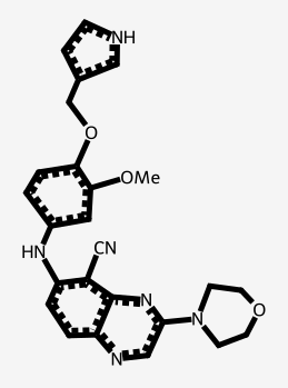 COc1cc(Nc2ccc3ncc(N4CCOCC4)nc3c2C#N)ccc1OCc1cc[nH]c1